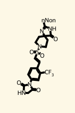 CCCCCCCCCC1=NC2(CCN(S(=O)(=O)C=Cc3ccc(N4C(=O)CNC4=O)cc3C(F)(F)F)CC2)C(=O)N1